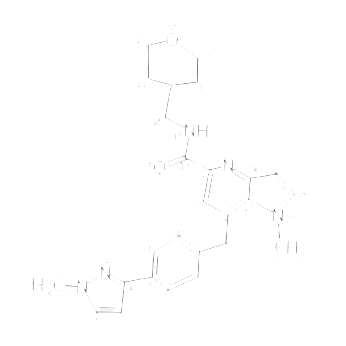 Cn1ccc(-c2ccc(Cc3cc(C(=O)NCC4CCOCC4)nc4ccn(C)c34)cc2)n1